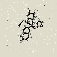 N#CCOc1cc(Br)c(F)cc1N(c1ccon1)S(=O)(=O)c1ccc2[nH]c(=O)ccc2c1